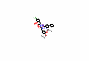 COc1ccc(C=C(NC(=O)c2ccc(-c3ccccc3)cc2)C(=O)NC(Cc2ccc(Cl)cc2)C(=O)O)cc1OC